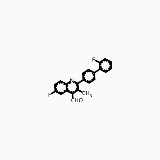 Cc1c(-c2ccc(-c3ccccc3F)cc2)nc2ccc(F)cc2c1C=O